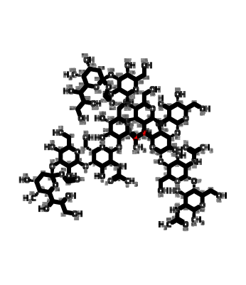 CC(=O)NC1C(O)[C@H](O[C@@H]2OC(CO)[C@H](O)[C@H](O[C@]3(OC=O)C[C@@H](O)[C@@H](C)C(C(O)C(O)CO)O3)C2O)[C@H](CO)O[C@H]1OC1[C@@H](OCC2O[C@@H](O[C@@H]3C(CO)O[C@@H](O[C@@H]4C(CO)O[C@@H](C)C(NC(C)=O)[C@H]4O)C(NC(C)=O)[C@H]3O)C(O)[C@@H](O[C@H]3OC(CO)[C@@H](O)C(O)C3O[C@@H]3OC(CO)[C@H](O[C@@H]4OC(CO)[C@H](O)[C@H](O[C@]5(OC=O)C[C@@H](O)[C@@H](C)C(C(O)C(O)CO)O5)C4O)[C@H](O)C3NC(C)=O)[C@@H]2O)OC(CO)[C@@H](O)[C@@H]1O